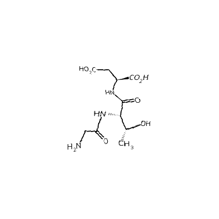 C[C@@H](O)[C@H](NC(=O)CN)C(=O)N[C@@H](CC(=O)O)C(=O)O